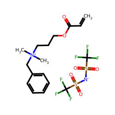 C=CC(=O)OCCC[N+](C)(C)Cc1ccccc1.O=S(=O)([N-]S(=O)(=O)C(F)(F)F)C(F)(F)F